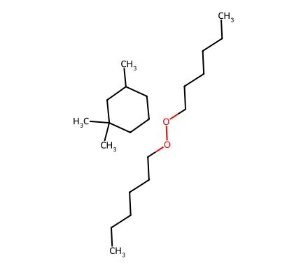 CC1CCCC(C)(C)C1.CCCCCCOOCCCCCC